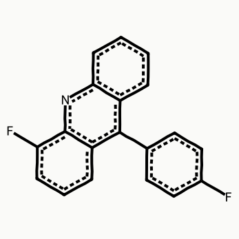 Fc1ccc(-c2c3ccccc3nc3c(F)cccc23)cc1